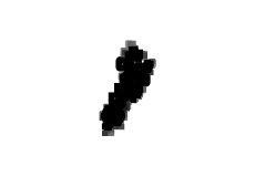 CCOP(=O)(OCC)C(Cc1nc(C(F)(F)c2ccc(C)cc2)no1)C(=O)OC(C)(C)C